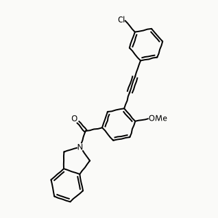 COc1ccc(C(=O)N2Cc3ccccc3C2)cc1C#Cc1cccc(Cl)c1